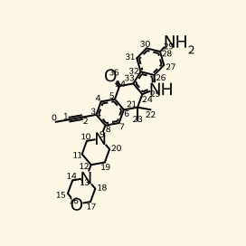 CC#Cc1cc2c(cc1N1CCC(N3CCOCC3)CC1)C(C)(C)c1[nH]c3cc(N)ccc3c1C2=O